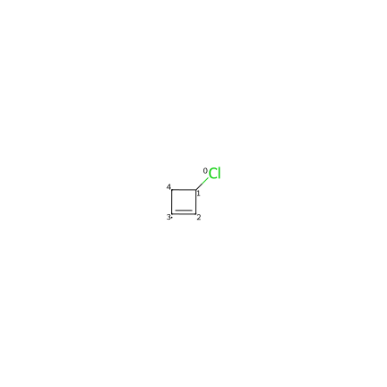 ClC1C=[C]C1